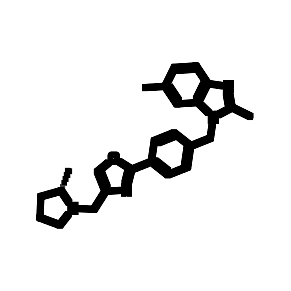 Cc1ccc2nc(C)n(Cc3ccc(-c4nc(CN5CCC[C@@H]5C)co4)cc3)c2c1